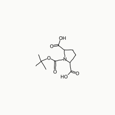 CC(C)(C)OC(=O)N1C(C(=O)O)CCC1C(=O)O